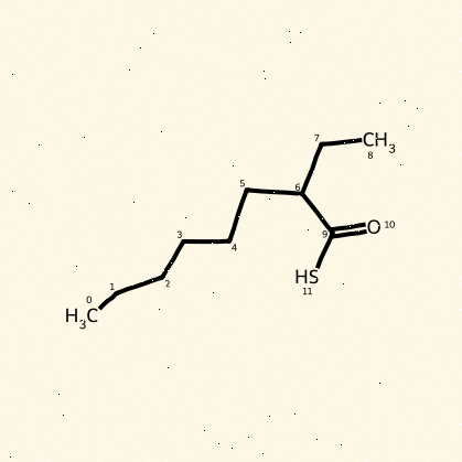 CCCCCCC(CC)C(=O)S